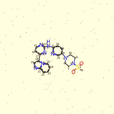 CS(=O)(=O)N1CCN(c2ccc(Nc3nccc(-c4cnc5ccccn45)n3)nc2)CC1